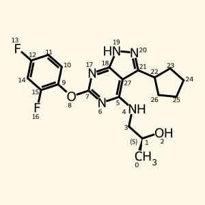 C[C@H](O)CNc1nc(Oc2ccc(F)cc2F)nc2[nH]nc(C3CCCC3)c12